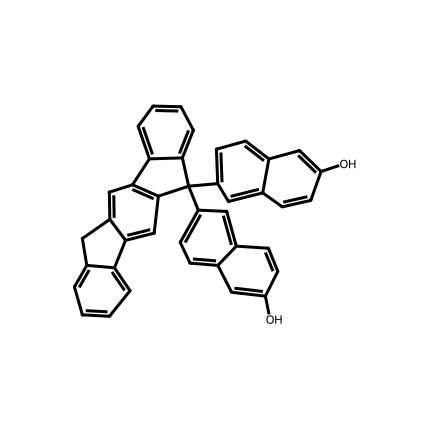 Oc1ccc2cc(C3(c4ccc5cc(O)ccc5c4)c4ccccc4-c4cc5c(cc43)-c3ccccc3C5)ccc2c1